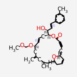 C=C1C[C@H](C)C[C@@H]2CC=C[C@@H](CC#CC(=O)O[C@H]([C@@H](O)/C=C/c3cccc(C)c3)C/C=C/[C@@H](OCOC)C1)O2